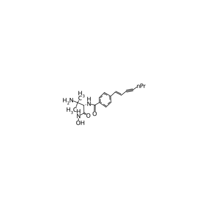 CCCC#C/C=C/c1ccc(C(=O)N[C@H](C(=O)NO)C(C)(C)N)cc1